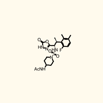 CC(=O)NC1CCN(S(=O)(=O)N[C@H](c2n[nH]c(=O)o2)[C@@H](C)c2c(F)ccc(C)c2C)CC1